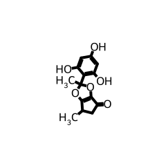 CC1CC(=O)C2=C1OC(C)(c1c(O)cc(O)cc1O)O2